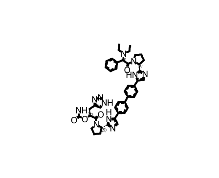 CCN(CC)[C@@H](C(=O)N1CCC[C@H]1c1ncc(-c2ccc(-c3ccc(-c4cnc([C@@H]5CCCN5C(=O)[C@H](Cc5c[nH]nn5)OC(N)=O)[nH]4)cc3)cc2)[nH]1)c1ccccc1